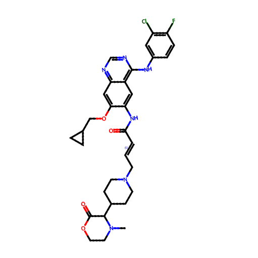 CN1CCOC(=O)C1C1CCN(C/C=C/C(=O)Nc2cc3c(Nc4ccc(F)c(Cl)c4)ncnc3cc2OCC2CC2)CC1